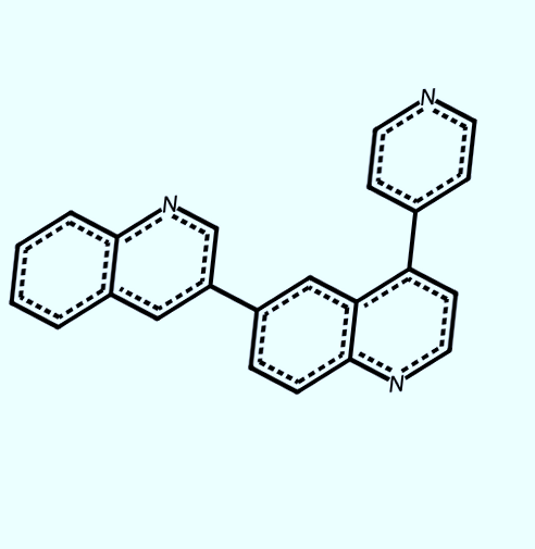 c1ccc2ncc(-c3ccc4nccc(-c5ccncc5)c4c3)cc2c1